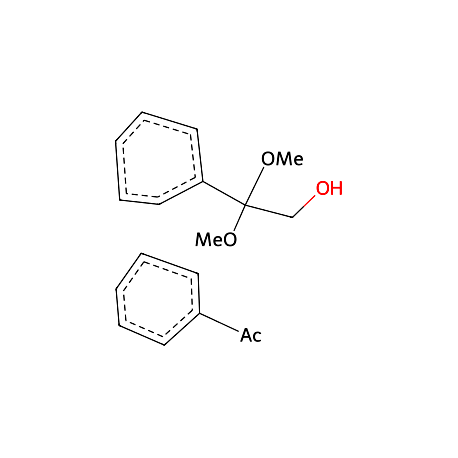 CC(=O)c1ccccc1.COC(CO)(OC)c1ccccc1